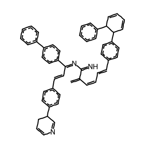 C=C(/C=C\C=C\c1ccc(C2C=CC=CC2c2ccccc2)cc1)C(=N)/N=C(\C=C\c1ccc(C2C=NC=CC2)cc1)c1ccc(-c2ccccc2)cc1